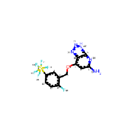 Nc1cc(OCc2cc(S(F)(F)(F)(F)F)ccc2F)c2nn[nH]c2n1